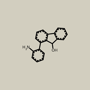 Nc1ccccc1-c1cccc2c1C(O)c1ccccc1-2